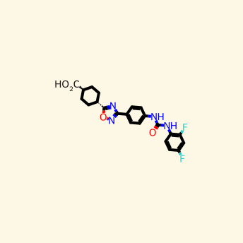 O=C(Nc1ccc(-c2noc([C@H]3CC[C@H](C(=O)O)CC3)n2)cc1)Nc1ccc(F)cc1F